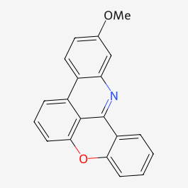 COc1ccc2c(c1)nc1c3c(cccc32)Oc2ccccc2-1